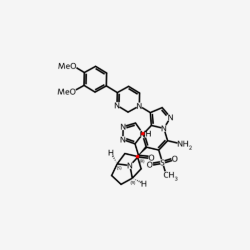 COc1ccc(C2=NCN(c3cnn4c(N)c(S(C)(=O)=O)c([C@H]5C[C@H]6CC[C@@H](C5)N6C(=O)c5nnc[nH]5)nc34)C=C2)cc1OC